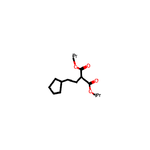 CC(C)OC(=O)C(CCC1CCCC1)C(=O)OC(C)C